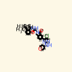 CC(NC(=O)CN1Cc2ccc(-c3nc(NC4CCOCC4)ncc3Cl)cc2C1=O)c1ccccc1C(C)(C)C